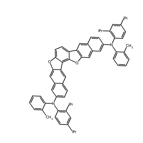 Cc1ccccc1N(c1ccc2cc3c(cc2c1)oc1c3ccc2oc3cc4cc(N(c5ccccc5C)c5ccc(C(C)C)cc5C(C)C)ccc4cc3c21)c1ccc(C(C)C)cc1C(C)C